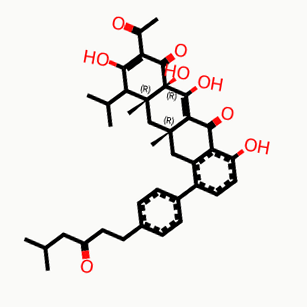 CC(=O)C1=C(O)C(C(C)C)[C@@]2(C)C[C@@]3(C)Cc4c(-c5ccc(CCC(=O)CC(C)C)cc5)ccc(O)c4C(=O)C3=C(O)[C@@]2(O)C1=O